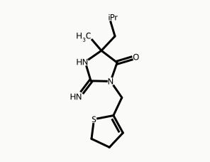 CC(C)CC1(C)NC(=N)N(CC2=CCCS2)C1=O